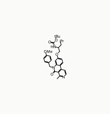 COc1ccc(Cn2c(=O)c3c(C)nccc3c3ccc(OCC(CC(C)C)NC(=O)OC(C)(C)C)cc32)cc1